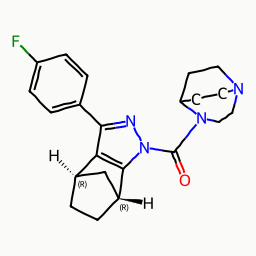 O=C(N1CCN2CCC1CC2)n1nc(-c2ccc(F)cc2)c2c1[C@@H]1CC[C@@H]2C1